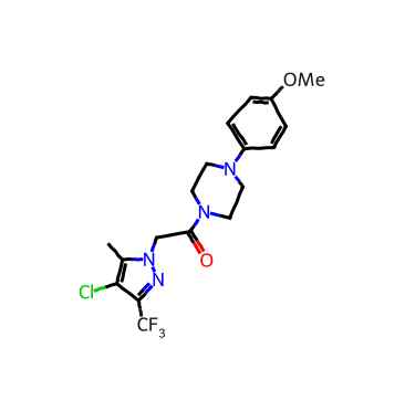 COc1ccc(N2CCN(C(=O)Cn3nc(C(F)(F)F)c(Cl)c3C)CC2)cc1